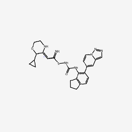 N=C(/C=C1\NCCOC1C1CC1)SNC(=O)Nc1c(-c2ccn3nncc3c2)ccc2c1CCC2